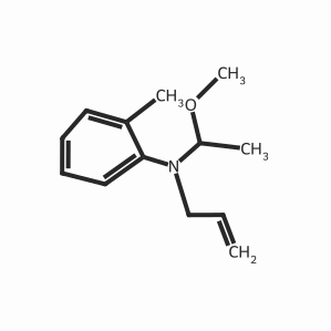 C=CCN(c1ccccc1C)C(C)OC